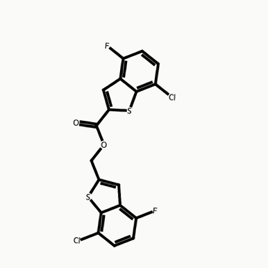 O=C(OCc1cc2c(F)ccc(Cl)c2s1)c1cc2c(F)ccc(Cl)c2s1